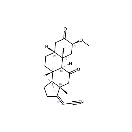 CO[C@H]1C[C@@]2(C)[C@H](CC[C@@H]3[C@@H]2C(=O)C[C@]2(C)/C(=C\C#N)CC[C@@H]32)CC1=O